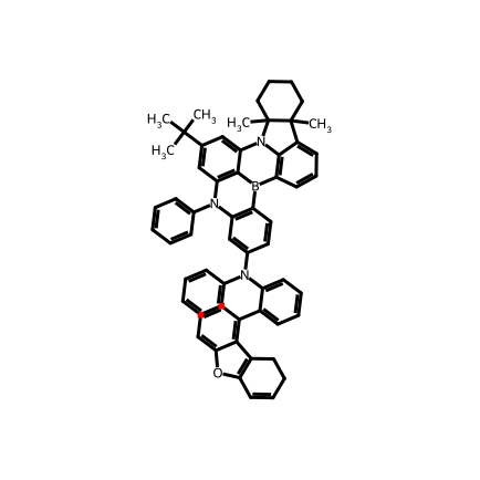 CC(C)(C)c1cc2c3c(c1)N1c4c(cccc4C4(C)CCCCC14C)B3c1ccc(N(c3ccccc3)c3ccccc3-c3cccc4oc5c(c34)CCC=C5)cc1N2c1ccccc1